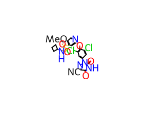 COc1cnc(Oc2c(Cl)cc(-n3nc(C#N)c(=O)[nH]c3=O)cc2Cl)cc1S(=O)(=O)NC1CCC1